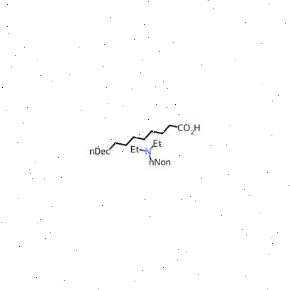 CCCCCCCCCCCCCCCCCC(=O)O.CCCCCCCCCN(CC)CC